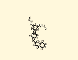 CCCCc1cc(N)nc(N2CCN(CC3COc4ccccc4O3)CC2)n1